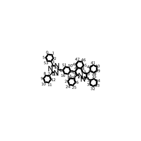 c1ccc(-c2nc(-c3ccccc3)nc(-c3ccc(-c4c(-c5ccccc5)n5nc(-c6ccccc6)c(-c6ccccc6)c5c5ccccc45)cc3)n2)cc1